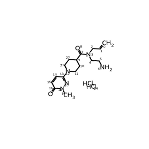 C=CCN(CCN)C(=O)C1CCN(c2ccc(=O)n(C)n2)CC1.Cl.Cl